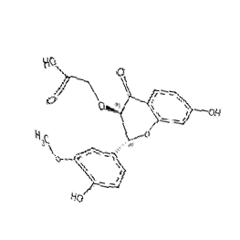 COc1cc([C@H]2Oc3cc(O)ccc3C(=O)[C@@H]2OCC(=O)O)ccc1O